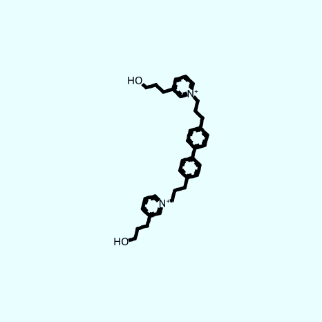 OCCCc1ccc[n+](CCCc2ccc(-c3ccc(CCC[n+]4cccc(CCCO)c4)cc3)cc2)c1